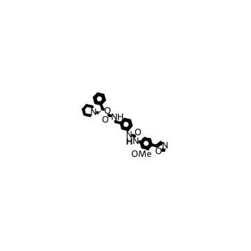 COc1cc(NC(=O)Nc2cccc(CNC(=O)O[C@H](CN3CCCCC3)c3ccccc3)c2)ccc1-c1cnco1